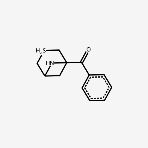 O=C(c1ccccc1)C12C[SH4]CC(C1)N2